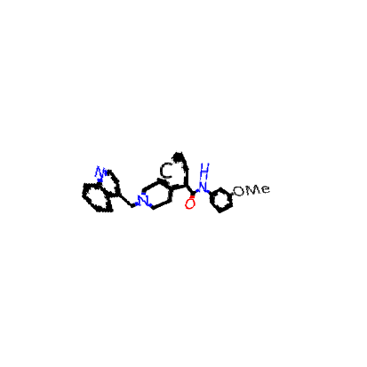 COc1cccc(NC(=O)c2cccc3c2CCN(Cc2ccnc4ccccc24)C3)c1